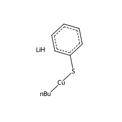 CCC[CH2][Cu][S]c1ccccc1.[LiH]